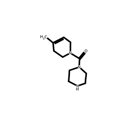 CC1=CCN(C(=O)N2CCNCC2)CC1